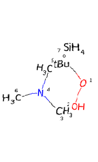 CC(C)(C)OO.CN(C)C.[SiH4]